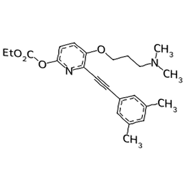 CCOC(=O)Oc1ccc(OCCCN(C)C)c(C#Cc2cc(C)cc(C)c2)n1